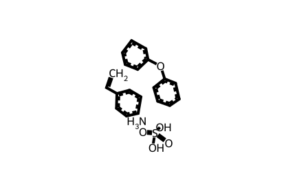 C=Cc1ccccc1.N.O=S(=O)(O)O.c1ccc(Oc2ccccc2)cc1